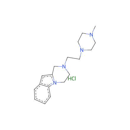 CN1CCN(CCN2CCn3c(cc4ccccc43)C2)CC1.Cl